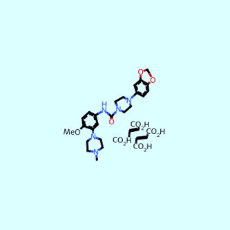 COc1ccc(NC(=O)N2CCN(c3ccc4c(c3)OCO4)CC2)cc1N1CCN(C)CC1.O=C(O)/C=C/C(=O)O.O=C(O)/C=C/C(=O)O